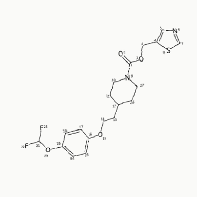 O=C(OCc1cncs1)N1CCC(CCOc2ccc(OC(F)F)cc2)CC1